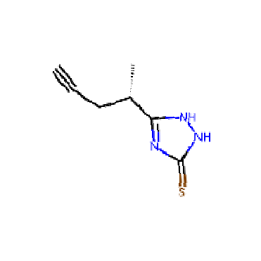 C#CC[C@H](C)c1nc(=S)[nH][nH]1